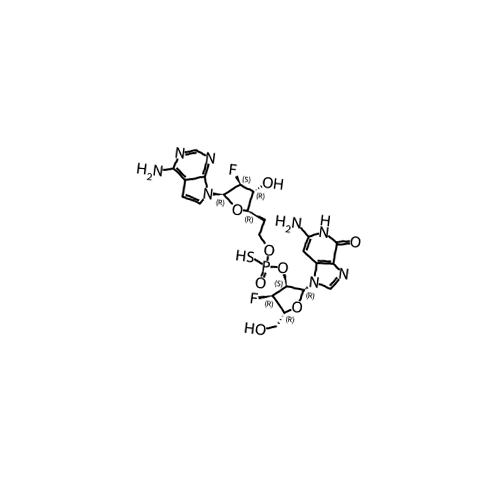 Nc1cc2c(ncn2[C@@H]2O[C@H](CO)[C@@H](F)[C@H]2OP(=O)(S)OCC[C@H]2O[C@@H](n3ccc4c(N)ncnc43)[C@@H](F)[C@@H]2O)c(=O)[nH]1